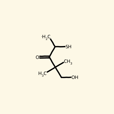 [CH2]C(S)C(=O)C(C)(C)CO